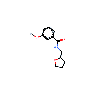 CCOc1cccc(C(=O)NCC2CCCO2)c1